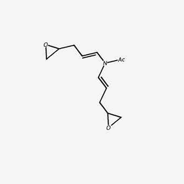 CC(=O)N(C=CCC1CO1)C=CCC1CO1